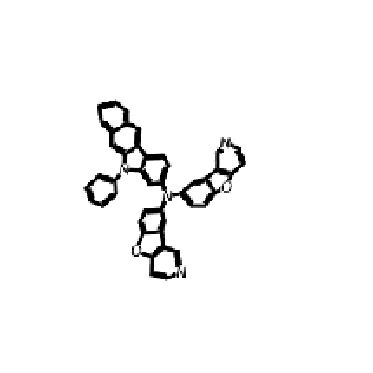 c1ccc(-n2c3cc(N(c4ccc5oc6ccncc6c5c4)c4ccc5oc6ccncc6c5c4)ccc3c3cc4ccccc4cc32)cc1